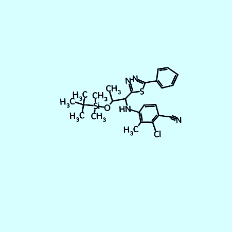 Cc1c(NC(c2nnc(-c3ccccc3)s2)C(C)O[Si](C)(C)C(C)(C)C)ccc(C#N)c1Cl